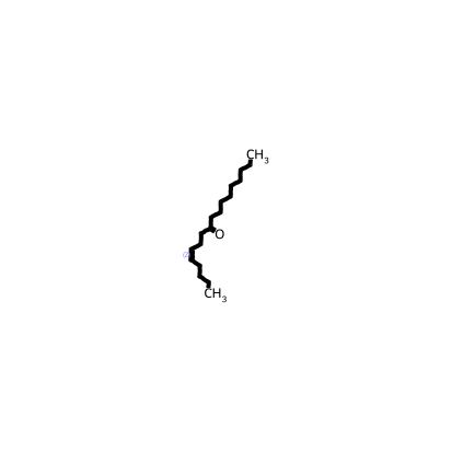 CCCC/C=C\CCC(=O)CCCCCCCCC